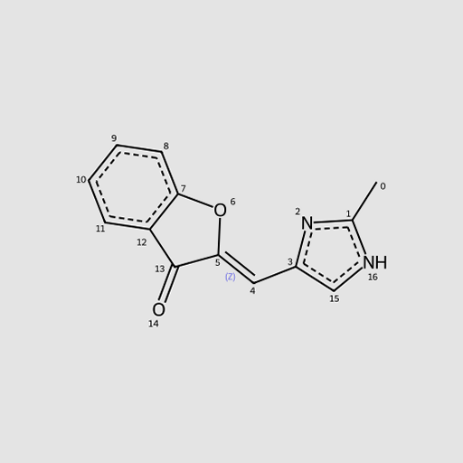 Cc1nc(/C=C2\Oc3ccccc3C2=O)c[nH]1